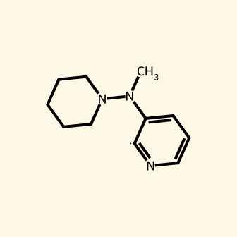 CN(c1[c]nccc1)N1CCCCC1